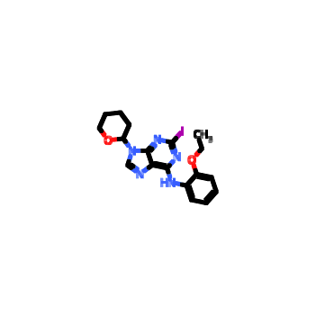 CCOc1ccccc1Nc1nc(I)nc2c1ncn2C1CCCCO1